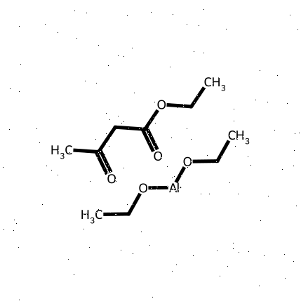 CCOC(=O)CC(C)=O.CC[O][Al][O]CC